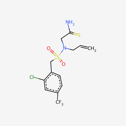 C=CCN(CC(N)=S)S(=O)(=O)Cc1ccc(C(F)(F)F)cc1Cl